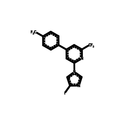 FC(F)(F)c1ccc(-c2cc(-n3cnc(I)c3)nc(C(F)(F)F)c2)cc1